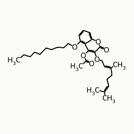 CCCCCCCCCCOc1cccc2oc(=O)c(OC/C=C(\C)CCC=C(C)C)c(OC(C)=O)c12